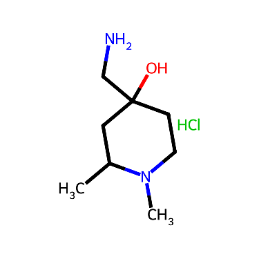 CC1CC(O)(CN)CCN1C.Cl